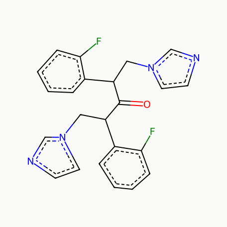 O=C(C(Cn1ccnc1)c1ccccc1F)C(Cn1ccnc1)c1ccccc1F